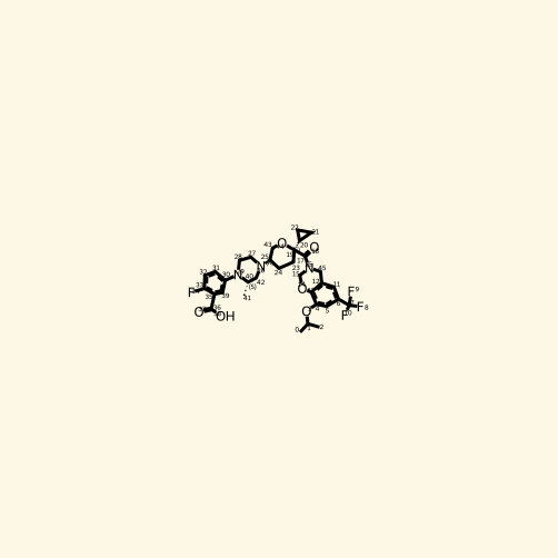 CC(C)Oc1cc(C(F)(F)F)cc2c1OCN(C(=O)[C@@]1(C3CC3)CC[C@@H](N3CCN(c4ccc(F)c(C(=O)O)c4)[C@@H](C)C3)CO1)C2